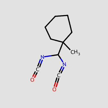 CC1(C(N=C=O)N=C=O)CCCCC1